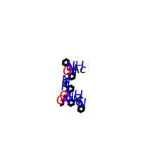 C=CC(=O)N(C(=O)Nc1cccc(N=C=Nc2cccc(N(C(C)=O)C(=O)Nc3ccccc3)c2C)c1C)c1cccc(N=C=Nc2ccccc2)c1C